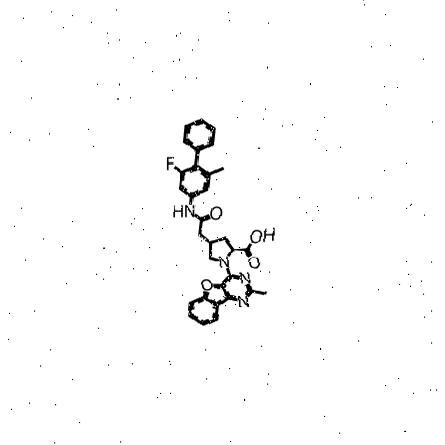 Cc1nc(N2C[C@@H](CC(=O)Nc3cc(C)c(-c4ccccc4)c(F)c3)C[C@H]2C(=O)O)c2oc3ccccc3c2n1